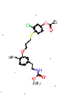 CCCCOC(=O)NCCc1ccc(CCC)c(OCCCSc2ccc(OC(=O)CC)cc2Cl)c1